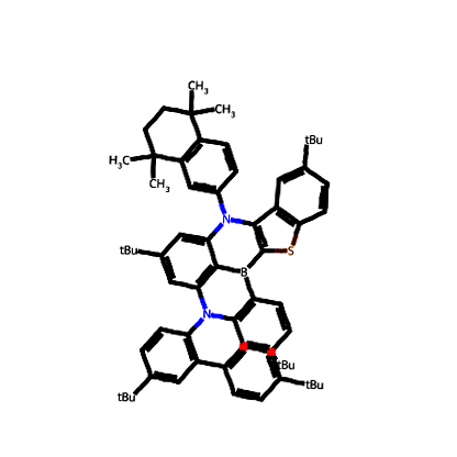 CC(C)(C)c1ccc(-c2cc(C(C)(C)C)ccc2N2c3cc(C(C)(C)C)ccc3B3c4sc5ccc(C(C)(C)C)cc5c4N(c4ccc5c(c4)C(C)(C)CCC5(C)C)c4cc(C(C)(C)C)cc2c43)cc1